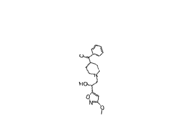 COc1cc(C(O)CN2CCC(C(=O)c3ccccc3)CC2)on1